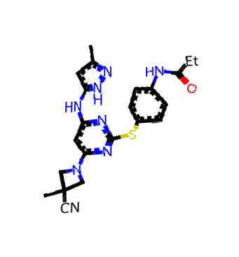 CCC(=O)Nc1ccc(Sc2nc(Nc3cc(C)n[nH]3)cc(N3CC(C)(C#N)C3)n2)cc1